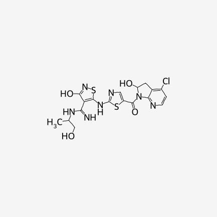 CC(CO)NC(=N)c1c(O)nsc1Nc1ncc(C(=O)N2c3nccc(Cl)c3CC2O)s1